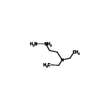 CCN(CC)CC[SiH2][SiH3]